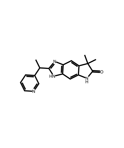 CC(c1cccnc1)c1nc2cc3c(cc2[nH]1)NC(=O)C3(C)C